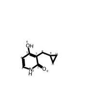 O=c1[nH]ccc(O)c1CC1CC1